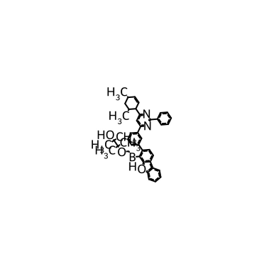 CC1C=CC(c2cc(-c3cccc(-c4ccc5c(oc6ccccc65)c4BCOC(C)(C)C(C)(C)O)c3)nc(-c3ccccc3)n2)C(C)C1